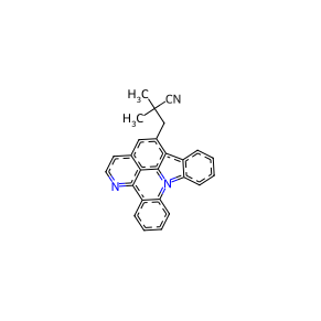 CC(C)(C#N)Cc1cc2ccnc3c4ccccc4n4c5ccccc5c1c4c23